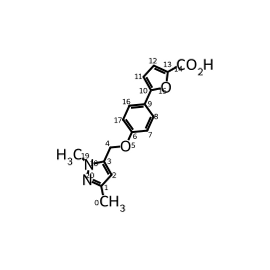 Cc1cc(COc2ccc(-c3ccc(C(=O)O)o3)cc2)n(C)n1